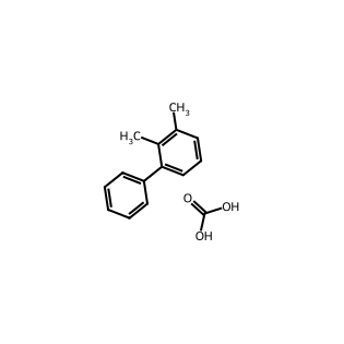 Cc1cccc(-c2ccccc2)c1C.O=C(O)O